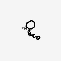 C[C@@H]1CCCC[C@H]1N=C=O